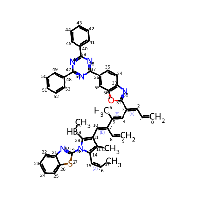 C=C\C=C(/C=C(C)/C(C=C)=C/c1c(C)c(/C=C\C)n(-c2nc3ccccc3s2)c1BC)c1nc2ccc(-c3nc(-c4ccccc4)nc(-c4ccccc4)n3)cc2o1